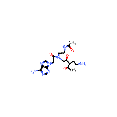 CC(=O)NCCN(CC(=O)C(CCN)C(C)=O)C(=O)Cn1cnc2c(N)ncnc21